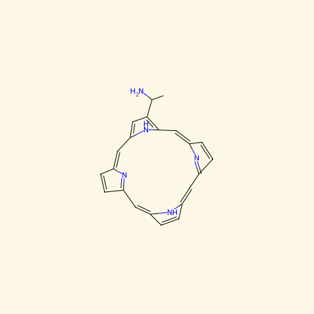 CC(N)c1cc2cc3nc(cc4ccc(cc5nc(cc1[nH]2)C=C5)[nH]4)C=C3